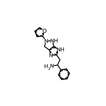 NC(Cc1nc2c([nH]1)NN(c1ccco1)C2)c1ccccc1